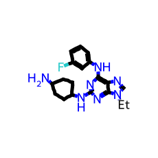 CCn1cnc2c(Nc3cccc(F)c3)nc(NC3CCC(N)CC3)nc21